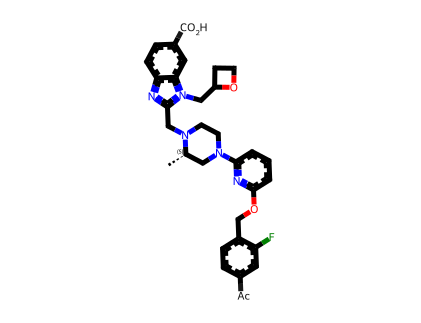 CC(=O)c1ccc(COc2cccc(N3CCN(Cc4nc5ccc(C(=O)O)cc5n4CC4CCO4)[C@@H](C)C3)n2)c(F)c1